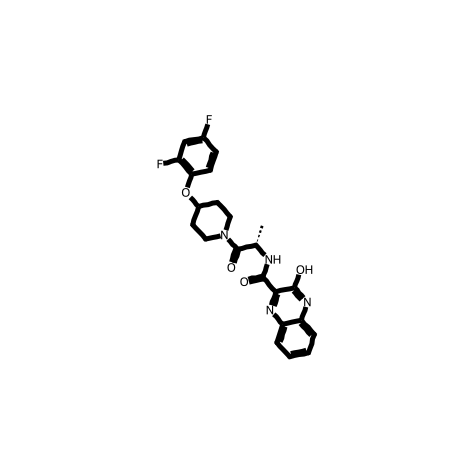 C[C@H](NC(=O)c1nc2ccccc2nc1O)C(=O)N1CCC(Oc2ccc(F)cc2F)CC1